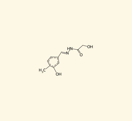 Cc1ccc(/C=N/NC(=O)CO)cc1O